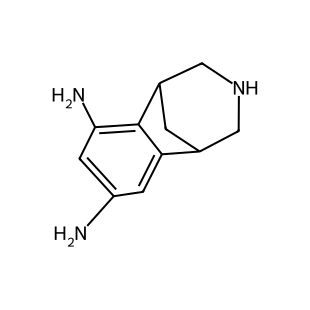 Nc1cc(N)c2c(c1)C1CNCC2C1